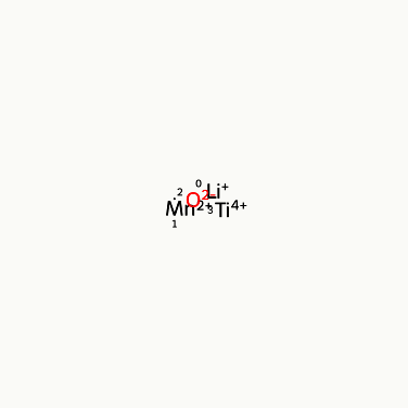 [Li+].[Mn+2].[O-2].[Ti+4]